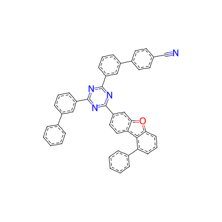 N#Cc1ccc(-c2cccc(-c3nc(-c4cccc(-c5ccccc5)c4)nc(-c4ccc5c(c4)oc4cccc(-c6ccccc6)c45)n3)c2)cc1